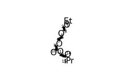 CCOCCOCCOCC(=O)OCC(=O)C(C)C